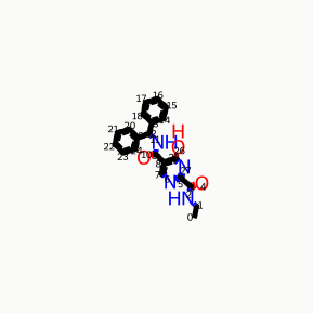 CCNC(=O)c1ncc(C(=O)NC(c2ccccc2)c2ccccc2)c(O)n1